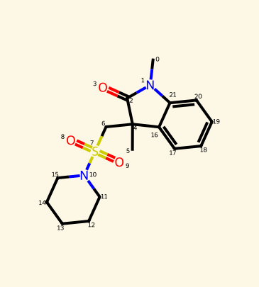 CN1C(=O)C(C)(CS(=O)(=O)N2CCCCC2)c2ccccc21